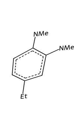 CCc1ccc(NC)c(NC)c1